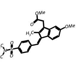 COC(=O)CC1=C(C)C(=Cc2ccc(S(=O)(=O)N(C)C)cc2)c2ccc(OC)cc21